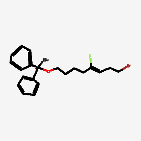 CC(C)(C)[Si](OCCCCC(F)=CCCBr)(c1ccccc1)c1ccccc1